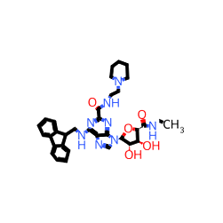 CCNC(=O)[C@H]1O[C@@H](n2cnc3c(NCC4c5ccccc5-c5ccccc54)nc(C(=O)NCCN4CCCCC4)nc32)[C@@H](O)[C@@H]1O